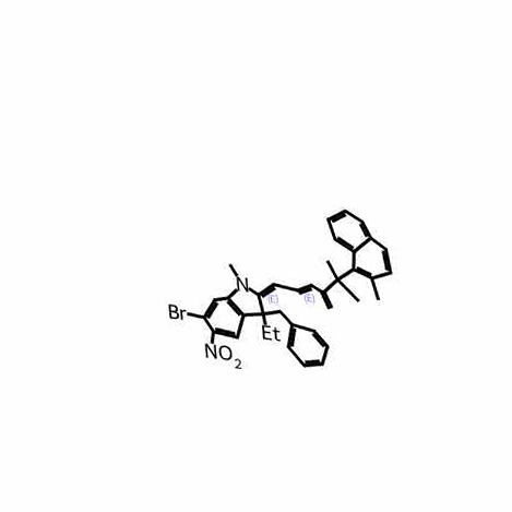 C=C(/C=C/C=C1/N(C)c2cc(Br)c([N+](=O)[O-])cc2C1(CC)Cc1ccccc1)C(C)(C)c1c(C)ccc2ccccc12